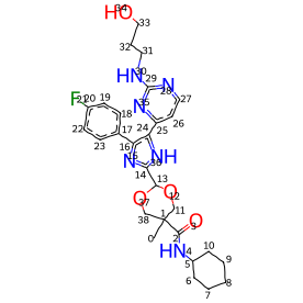 CC1(C(=O)NC2CCCCC2)COC(c2nc(-c3ccc(F)cc3)c(-c3ccnc(NCCCO)n3)[nH]2)OC1